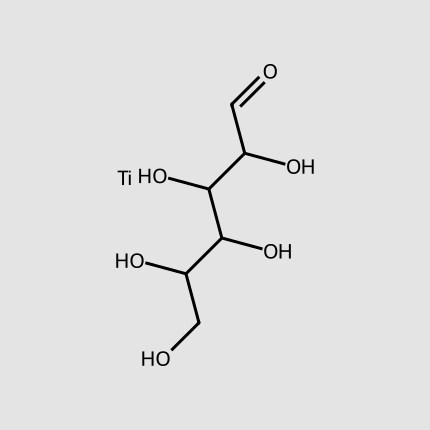 O=CC(O)C(O)C(O)C(O)CO.[Ti]